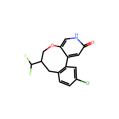 O=c1cc2c(c[nH]1)OCC(C(F)F)Cc1ccc(Cl)cc1-2